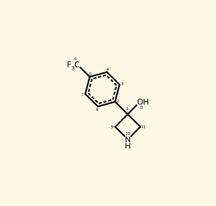 OC1(c2ccc(C(F)(F)F)cc2)CNC1